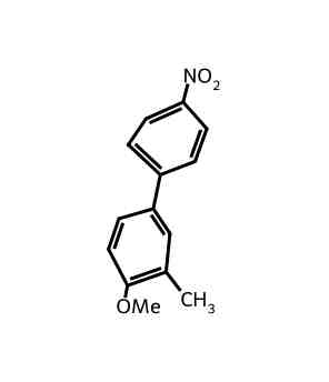 COc1ccc(-c2ccc([N+](=O)[O-])cc2)cc1C